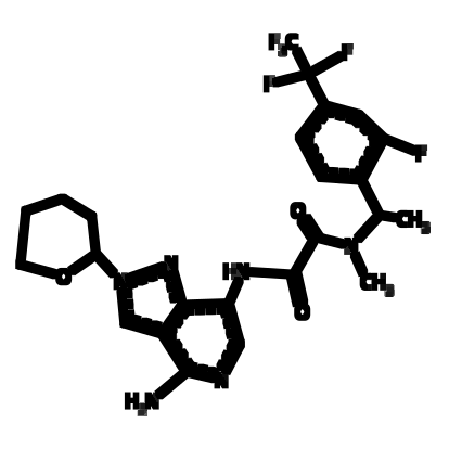 CC(c1ccc(C(F)(F)C(F)(F)F)cc1F)N(C)C(=O)C(=O)Nc1cnc(N)c2cn(C3CCCCO3)nc12